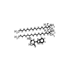 CCCCCCCCCCCCCCCCCC(C)(C)N.CCCCCCCCCCCCCCCCCC(C)(C)N.OC(=S)CC(C(O)=S)c1nc2ccccc2s1